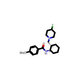 COc1ccc(C(=O)N[C@@H]2CCCC[C@H]2CN2CCC(F)CC2)cc1